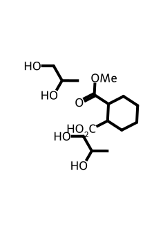 CC(O)CO.CC(O)CO.COC(=O)C1CCCCC1C(=O)O